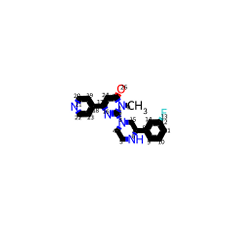 Cn1c(N2CCNC(c3cccc(F)c3)C2)nc(-c2ccncc2)cc1=O